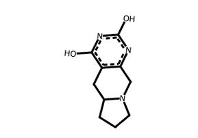 Oc1nc(O)c2c(n1)CN1CCCC1C2